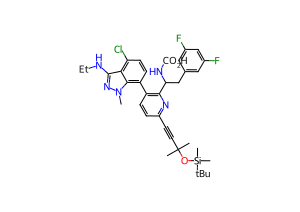 CCNc1nn(C)c2c(-c3ccc(C#CC(C)(C)O[Si](C)(C)C(C)(C)C)nc3C(Cc3cc(F)cc(F)c3)NC(=O)O)ccc(Cl)c12